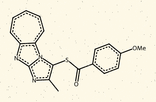 COc1ccc(C(=O)Sc2c(C)nc3nc4cccccc4n23)cc1